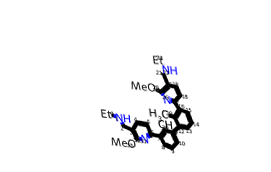 CCNCc1ccc(-c2cccc(-c3cccc(-c4ccc(CNCC)c(OC)n4)c3C)c2C)nc1OC